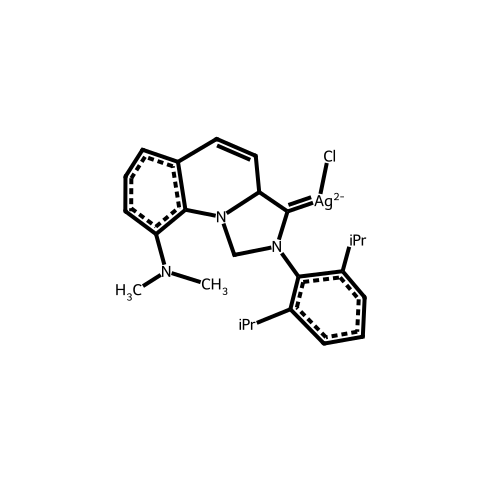 CC(C)c1cccc(C(C)C)c1N1CN2c3c(cccc3N(C)C)C=CC2[C]1=[Ag-2][Cl]